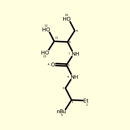 CCCCC(CC)CNC(=O)NC(CO)C(O)O